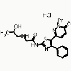 CC(O)CNCC(=O)Nc1nc(-c2ccccc2)c(-c2ccc(=O)n(C(C)C)n2)s1.Cl